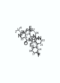 CC(C)c1ncc(C(=O)NCc2c(-c3cc(F)ccc3F)ccnc2N2CCC(F)(F)CC2)cn1